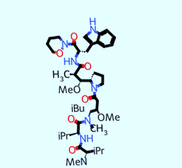 CC[C@H](C)[C@@H]([C@@H](CC(=O)N1CCC[C@H]1[C@H](OC)[C@@H](C)C(=O)N[C@@H](Cc1c[nH]c2ccccc12)C(=O)N1CCCCO1)OC)N(C)C(=O)[C@@H](NC(=O)[C@@H](NC)C(C)C)C(C)C